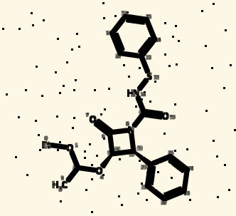 CCOC(C)O[C@H]1C(=O)N(C(=O)NSc2ccccc2)[C@H]1c1ccccc1